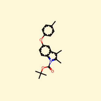 Cc1ccc(Oc2ccc3c(c2)c(C)c(C)n3C(=O)OC(C)(C)C)cc1